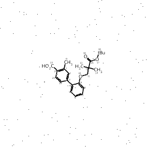 Cc1cc(-c2ccccc2OCC(C)(C)C(=O)OC(C)(C)C)ccc1C(=O)O